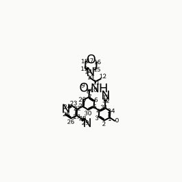 Cc1ccc(-c2cc(C(=O)NC(C)CN3CCOCC3)cc(-c3cnccc3C#N)c2)c(C#N)c1